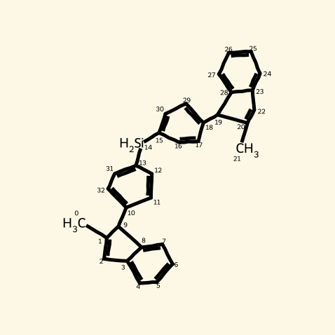 CC1=Cc2ccccc2C1c1ccc([SiH2]c2ccc(C3C(C)=Cc4ccccc43)cc2)cc1